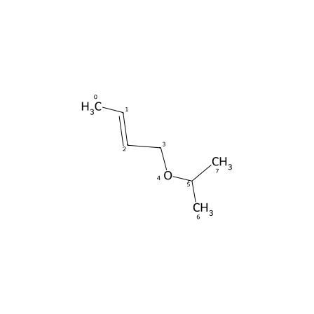 CC=CCO[C](C)C